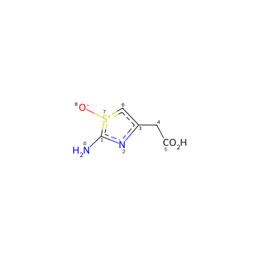 Nc1nc(CC(=O)O)c[s+]1[O-]